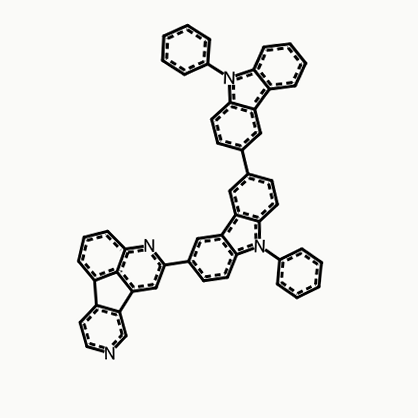 c1ccc(-n2c3ccccc3c3cc(-c4ccc5c(c4)c4cc(-c6cc7c8c(cccc8n6)-c6ccncc6-7)ccc4n5-c4ccccc4)ccc32)cc1